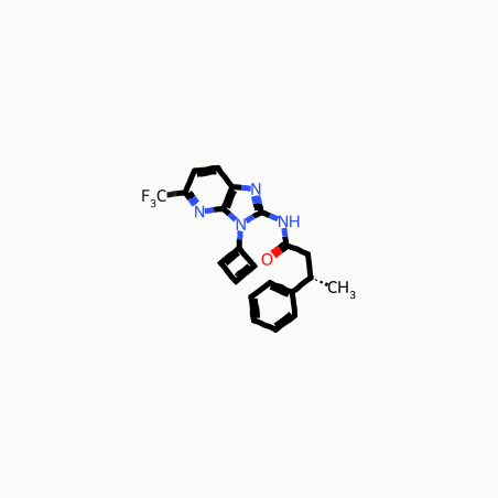 C[C@@H](CC(=O)Nc1nc2ccc(C(F)(F)F)nc2n1C1=CC=C1)c1ccccc1